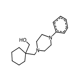 OCC1(CN2CCN(c3ccccc3)CC2)CCCCC1